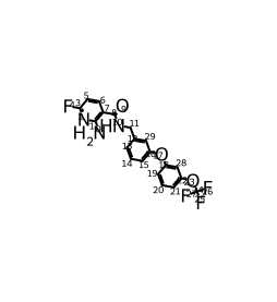 Nc1nc(F)ccc1C(=O)NCc1cccc(Oc2cccc(OC(F)(F)F)c2)c1